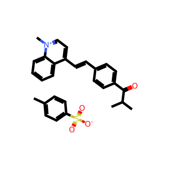 CC(C)C(=O)c1ccc(C=Cc2cc[n+](C)c3ccccc23)cc1.Cc1ccc(S(=O)(=O)[O-])cc1